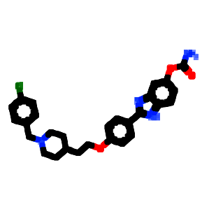 NC(=O)Oc1ccc2[nH]c(-c3ccc(OCCC4CCN(Cc5ccc(Cl)cc5)CC4)cc3)nc2c1